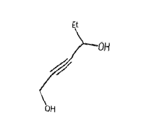 CCC(O)C#CCO